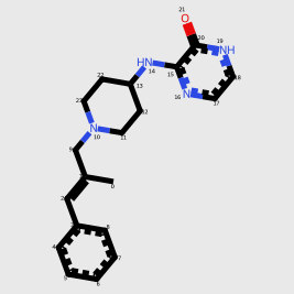 C/C(=C\c1ccccc1)CN1CCC(Nc2ncc[nH]c2=O)CC1